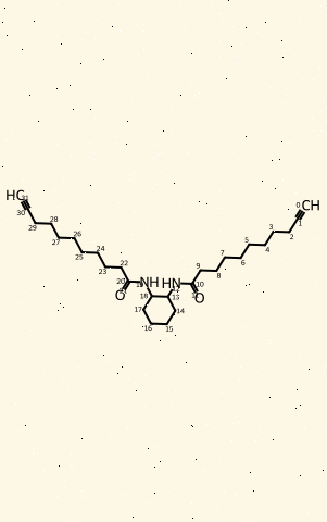 C#CCCCCCCCCC(=O)NC1CCCCC1NC(=O)CCCCCCCCC#C